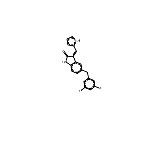 O=C1Nc2ccc(Cc3cc(F)cc(F)c3)cc2/C1=C/c1ccc[nH]1